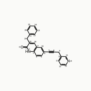 O=c1[nH]c2ccc(C#CCc3cccnc3)cc2cc1Cc1ccccc1